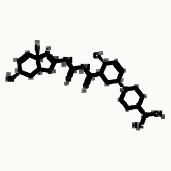 CN(C)C1CCN([C@H]2C=C[C@@H](Cl)C(C(=O)NC(=O)NC3=N[C@H]4C=C[C@@H](S)CC4S3)C2)CC1